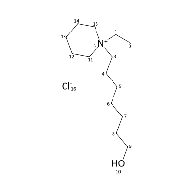 CC[N+]1(CCCCCCCO)CCCCC1.[Cl-]